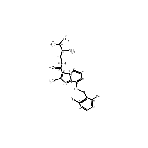 Cc1nc2c(OCc3c(F)cccc3F)cccn2c1C(=O)NCC(N)C(C)C